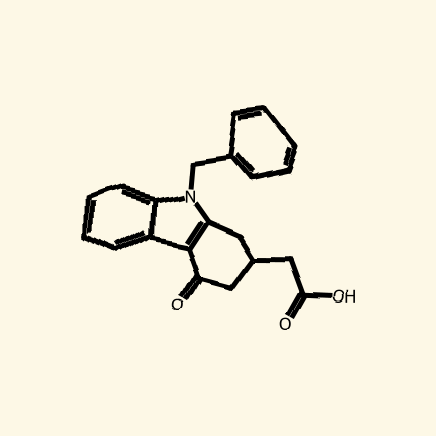 O=C(O)CC1CC(=O)c2c(n(Cc3ccccc3)c3ccccc23)C1